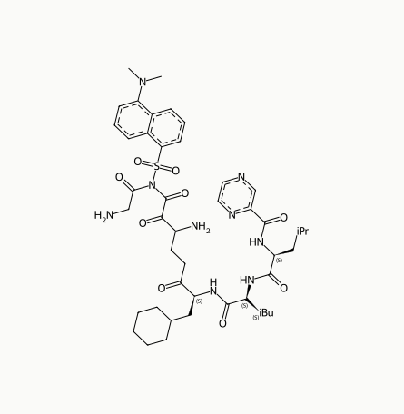 CC[C@H](C)[C@H](NC(=O)[C@H](CC(C)C)NC(=O)c1cnccn1)C(=O)N[C@@H](CC1CCCCC1)C(=O)CCC(N)C(=O)C(=O)N(C(=O)CN)S(=O)(=O)c1cccc2c(N(C)C)cccc12